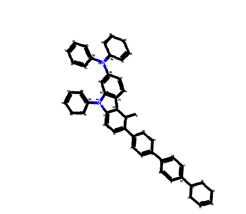 CC1C(C2=CC=C(c3ccc(C4CC=CCC4)cc3)CC2)=CC=C2C1c1ccc(N(c3ccccc3)C3C=CCCC3)cc1N2C1=CC=CCC1